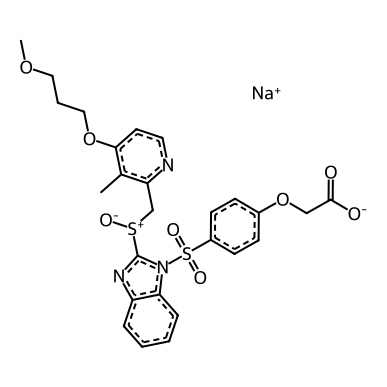 COCCCOc1ccnc(C[S+]([O-])c2nc3ccccc3n2S(=O)(=O)c2ccc(OCC(=O)[O-])cc2)c1C.[Na+]